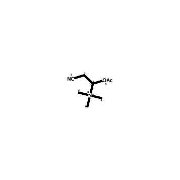 CC(=O)OC(CC#N)[N+](C)(C)C